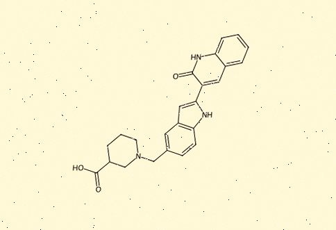 O=C(O)C1CCCN(Cc2ccc3[nH]c(-c4cc5ccccc5[nH]c4=O)cc3c2)C1